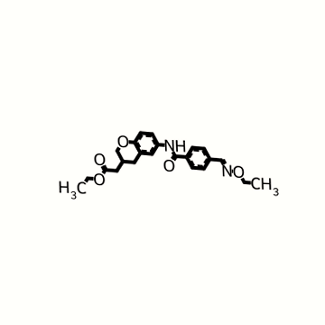 CCON=Cc1ccc(C(=O)Nc2ccc3c(c2)CC(CC(=O)OCC)CO3)cc1